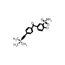 CS(C)(C)C#Cc1ccc(C(=O)c2ccc(Cl)c(S(N)(=O)=O)c2)cc1